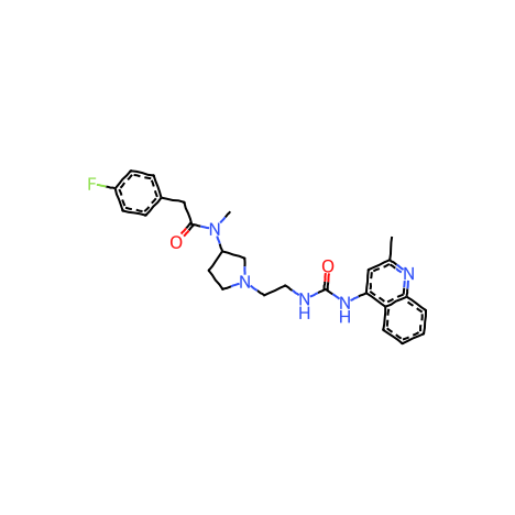 Cc1cc(NC(=O)NCCN2CCC(N(C)C(=O)Cc3ccc(F)cc3)C2)c2ccccc2n1